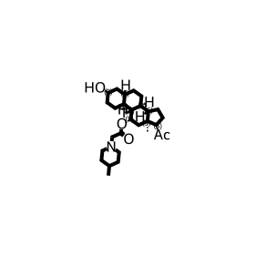 CC(=O)[C@H]1CC[C@H]2[C@@H]3CC[C@H]4C[C@H](O)CC[C@@H]4[C@H]3[C@@H](OC(=O)CN3CCC(C)CC3)C[C@]12C